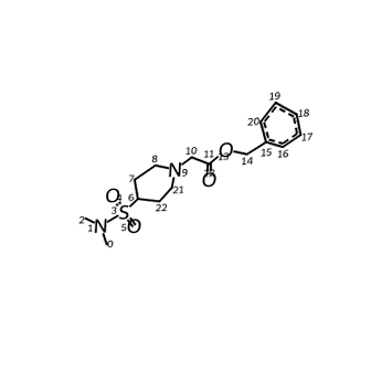 CN(C)S(=O)(=O)C1CCN(CC(=O)OCc2ccccc2)CC1